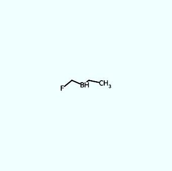 CCBCF